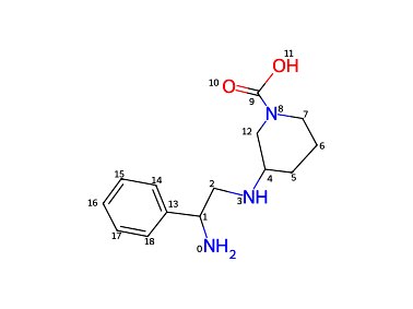 NC(CNC1CCCN(C(=O)O)C1)c1ccccc1